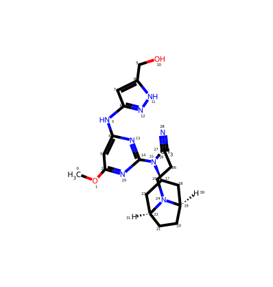 COc1cc(Nc2cc(CO)[nH]n2)nc(N(C)[C@H]2C[C@H]3CC[C@@H](C2)N3CCC#N)n1